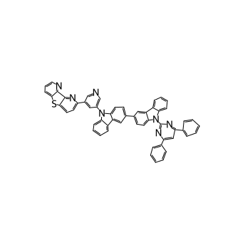 c1ccc(-c2cc(-c3ccccc3)nc(-n3c4ccccc4c4cc(-c5ccc6c(c5)c5ccccc5n6-c5cncc(-c6ccc7sc8cccnc8c7n6)c5)ccc43)n2)cc1